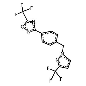 FC(F)(F)c1ccn(Cc2ccc(-c3noc(C(F)(F)F)n3)cc2)n1